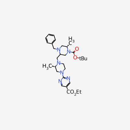 CCOC(=O)c1cnc(N2CCN(CC3CN(C(=O)OC(C)(C)C)[C@H](C)CN3Cc3ccccc3)[C@H](C)C2)nc1